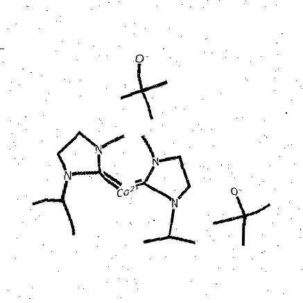 CC(C)(C)[O-].CC(C)(C)[O-].CC(C)N1CCN(C)[C]1=[Co+2]=[C]1N(C)CCN1C(C)C